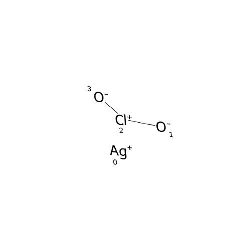 [Ag+].[O-][Cl+][O-]